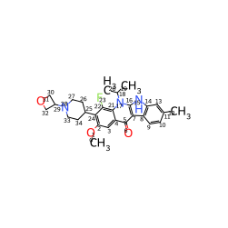 COc1cc2c(=O)c3c4ccc(C)cc4[nH]c3n(C(C)C)c2c(F)c1C1CCN(C2COC2)CC1